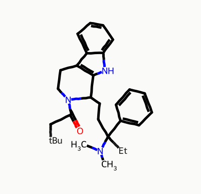 CCC(CCC1c2[nH]c3ccccc3c2CCN1C(=O)CC(C)(C)C)(c1ccccc1)N(C)C